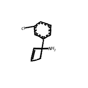 NC1(c2cccc(Cl)c2)C=CC1